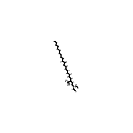 CCCCCCCCCCCCCCCCCCCCC(CCN(CC)CC)C(N)=O